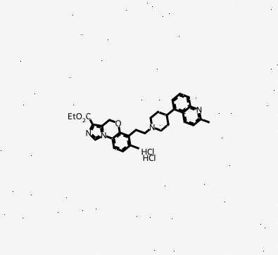 CCOC(=O)c1ncn2c1COc1c-2ccc(C)c1CCN1CCC(c2cccc3nc(C)ccc23)CC1.Cl.Cl